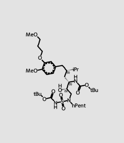 CCCCCN(C[C@H](O)[C@H](C[C@H](Cc1ccc(OC)c(OCCCOC)c1)C(C)C)NC(=O)OC(C)(C)C)S(=O)(=O)NC(=O)OC(C)(C)C